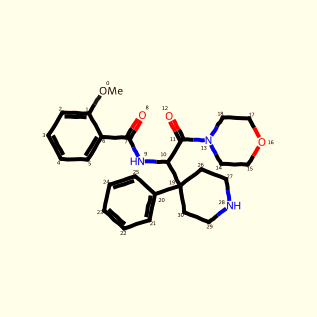 COc1ccccc1C(=O)NC(C(=O)N1CCOCC1)C1(c2ccccc2)CCNCC1